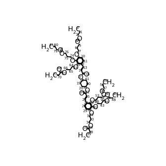 C=CCOOCCCOc1ccc(/C=C/C(=O)O[C@H]2CC[C@H](OC(=O)/C=C/c3ccc(OCCCOC(=O)C=C)c(OCCCOC(=O)C=C)c3OCCCOOCC=C)CC2)c(OCCCOC(=O)C=C)c1OCCCOOCC=C